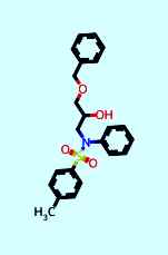 Cc1ccc(S(=O)(=O)N(CC(O)COCc2ccccc2)c2ccccc2)cc1